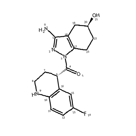 Nc1nn(C(=O)[C@H]2CCNc3ccc(F)cc32)c2c1C[C@@H](O)CC2